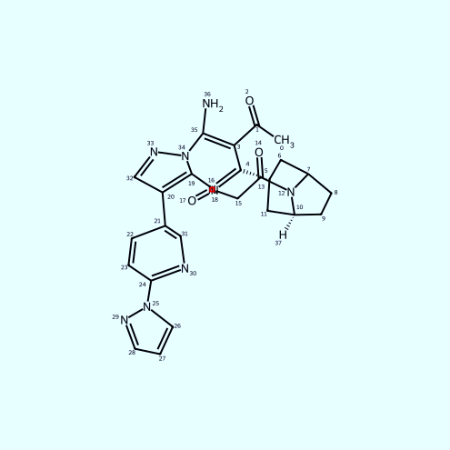 CC(=O)c1c([C@@H]2CC3CC[C@@H](C2)N3C(=O)CN=O)nc2c(-c3ccc(-n4cccn4)nc3)cnn2c1N